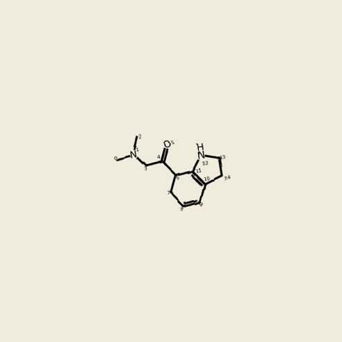 CN(C)CC(=O)C1CC=CC2=C1NCC2